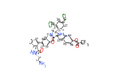 NCCNC(=O)c1ccccc1-c1cccc(CN(CCc2ccc(Cl)cc2Cl)C(=O)[C@@H](N)Cc2ccc(OC(=O)C(F)(F)F)cc2)c1